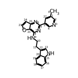 Cc1cncc(-c2nc(NCCc3c[nH]c4ccccc34)c3occc3n2)c1